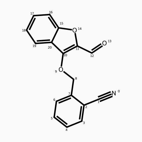 N#Cc1ccccc1COc1c(C=O)oc2ccccc12